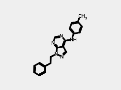 Cc1ccc(Nc2ncnc3c2cnn3CCc2ccccc2)cc1